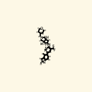 Cc1c(-c2cc(C(F)F)c(N[C@H]3C[C@@H]4CN(CC5CCOCC5)C[C@@H]4C3)nn2)ccc2nn(C)cc12